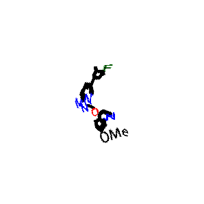 COc1ccc2c(OCc3nnc4ccc(-c5ccc(F)c(C)c5)cn34)ccnc2c1